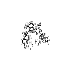 C=C/C=C\c1cc(Nc2nn([C@]3(CC#N)CC[C@@H](C(=O)OC(C)(C)C)OC3)c3cc[nH]c(=O)c23)ccc1N